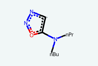 CCCCN(CCC)c1[c]nno1